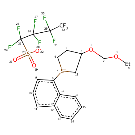 CCOCOC1CC[S+](c2cccc3ccccc23)C1.O=S(=O)([O-])C(F)(F)C(F)(F)C(F)(F)C(F)(F)F